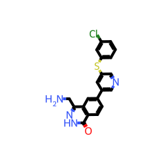 NCc1n[nH]c(=O)c2ccc(-c3cncc(Sc4cccc(Cl)c4)c3)cc12